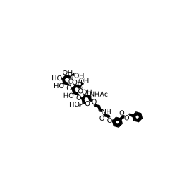 CC(=O)N[C@H]1[C@H](OCCCNC(=O)COc2cccc(C(=O)OCc3ccccc3)c2)O[C@H](CO)[C@@H](O[C@@H]2O[C@H](CO)[C@H](O)[C@H](O[C@H]3O[C@H](CO)[C@H](O)[C@H](O)[C@H]3O)[C@H]2O)[C@@H]1O